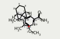 COCC(C)N1C[C@H]2CCC[C@@H](C1)C2(OC)c1ccnc(C(N)=O)c1